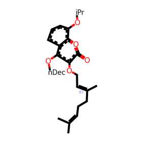 CCCCCCCCCCOc1c(OC/C=C(\C)CCC=C(C)C)c(=O)oc2c(OC(C)C)cccc12